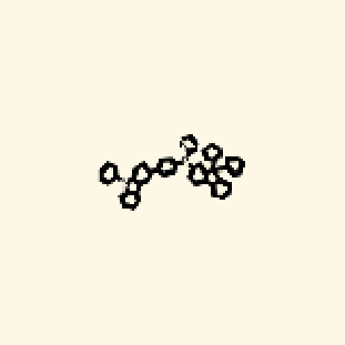 c1ccc(-n2c3ccccc3c3cc(-c4ccc(P(c5ccc6c(c5)C(c5ccccc5)(c5ccccc5)c5ccccc5-6)c5ccccn5)cc4)ccc32)cc1